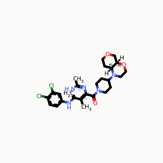 C=C(Nc1ccc(Cl)c(Cl)c1)/C(C)=C(\N=C(\C)N)C(=O)N1CCC(N2CCO[C@H]3COCC[C@H]32)CC1